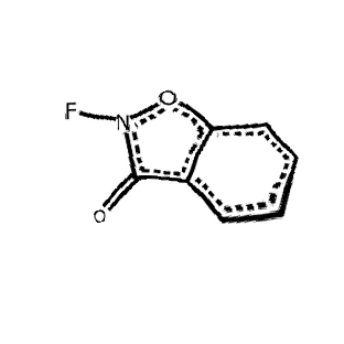 O=c1c2ccccc2on1F